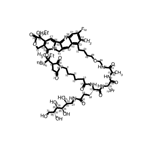 CCCCC(C)(CC)C1CC(=O)N(CCCCCC(=O)N[C@@H](CCC(=O)NC[C@H](O)[C@@H](O)[C@H](O)[C@H](O)CO)C(=O)N[C@H](C(=O)N[C@@H](C)C(=O)NCOCCCCc2c(C)c(F)cc3nc4c(cc23)Cn2c-4cc3c(c2=O)COC(=O)[C@]3(O)CC)C(C)C)C1=O